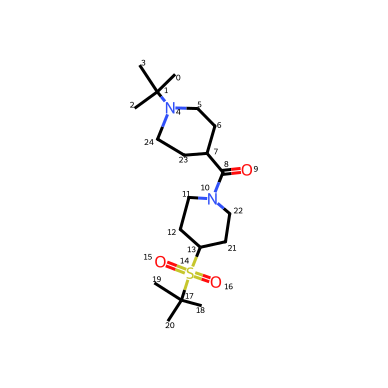 CC(C)(C)N1CCC(C(=O)N2CCC(S(=O)(=O)C(C)(C)C)CC2)CC1